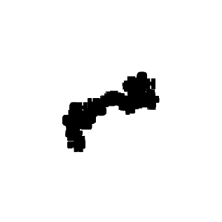 Cc1ncsc1-c1ccc(CNC(=O)[C@@H]2C[C@@H](O)CN2C(=O)C(NC(=O)COCC(=O)NCCN2CCN(Cc3ccc(F)c(-c4ccc(N5C[C@@H](C)N(C)[C@@H](C)C5)c(NC(=O)c5c[nH]c(=O)cc5C(F)(F)F)c4)c3)CC2)C(C)(C)C)cc1